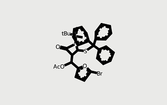 CC(=O)OC(c1ccc(Br)o1)C1C(=O)N([Si](C)(C)C(C)(C)C)C1SC(c1ccccc1)(c1ccccc1)c1ccccc1